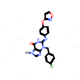 CCn1cnc2c1c(=O)[nH]/c(=N\c1ccc(Oc3ccon3)cc1)n2Cc1ccc(Cl)cc1